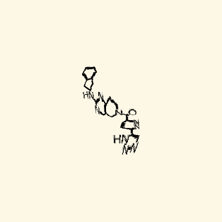 O=C(c1ccc(-c2cnn[nH]2)nn1)N1CCc2nc(NC3Cc4ccccc4C3)ncc2C1